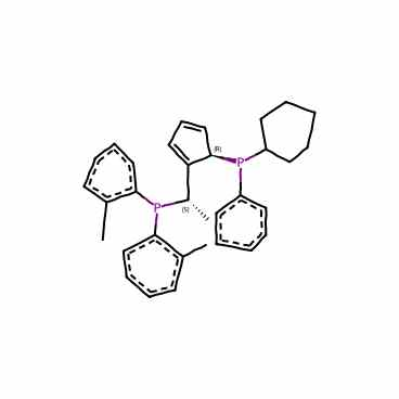 Cc1ccccc1P(c1ccccc1C)[C@@H](C)C1=CC=C[C@H]1P(c1ccccc1)C1CCCCC1